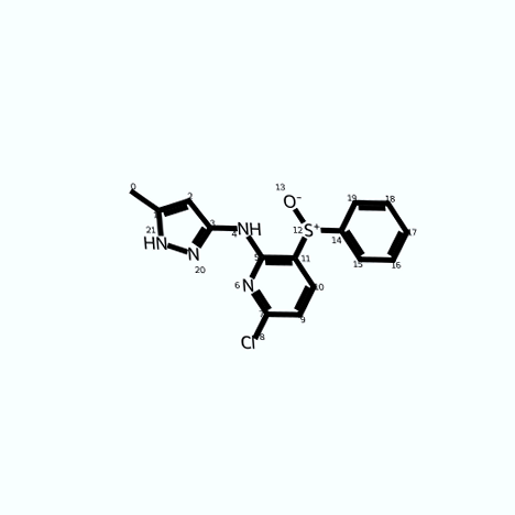 Cc1cc(Nc2nc(Cl)ccc2[S+]([O-])c2ccccc2)n[nH]1